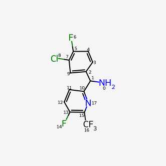 NC(c1ccc(F)c(Cl)c1)c1ccc(F)c(C(F)(F)F)n1